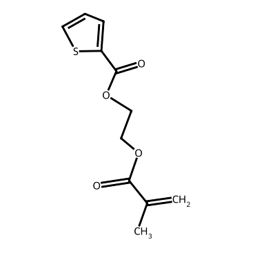 C=C(C)C(=O)OCCOC(=O)c1cccs1